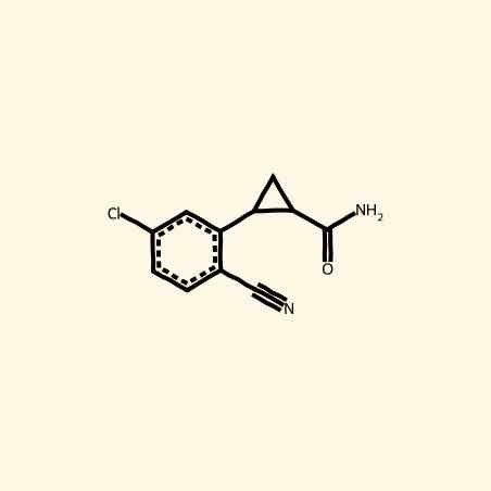 N#Cc1ccc(Cl)cc1C1CC1C(N)=O